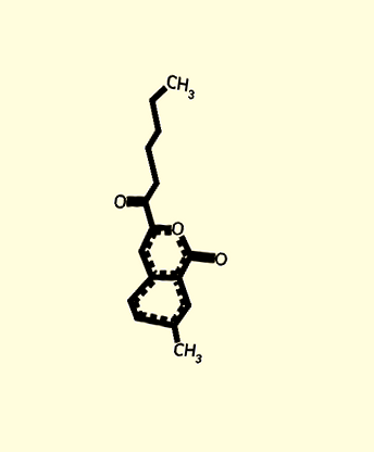 CCCCCC(=O)c1cc2ccc(C)cc2c(=O)o1